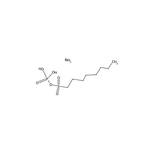 CCCCCCCCS(=O)(=O)OP(=O)(O)O.[BiH3]